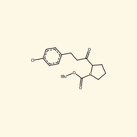 CC(C)(C)OC(=O)N1CCCC1C(=O)CCc1ccc(Cl)cc1